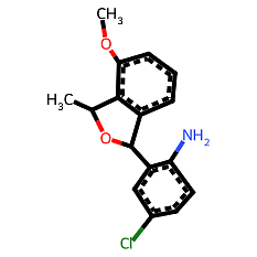 COc1cccc2c1C(C)OC2c1cc(Cl)ccc1N